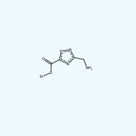 CCOC(=O)c1nc(CN)no1